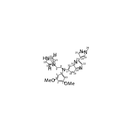 COc1cc(OC)cc(N(CCN2C[C@@H]3C[C@H]2CN3)c2ccc3ncc(-c4cnn(C)c4)nc3c2)c1